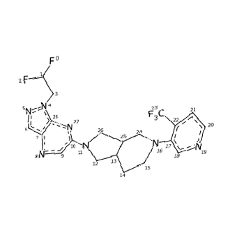 FC(F)Cn1ncc2ncc(N3CC4CCN(c5cnccc5C(F)(F)F)CC4C3)nc21